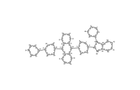 c1ccc(-n2c(-c3ccc(-c4c5ccccc5c(-c5ccc(-c6ccncc6)cc5)c5ccccc45)cc3)nc3ccccc32)cc1